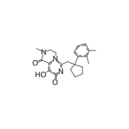 Cc1cccc(C2(Cc3nc(=O)c(O)c4n3CCN(C)C4=O)CCCC2)c1C